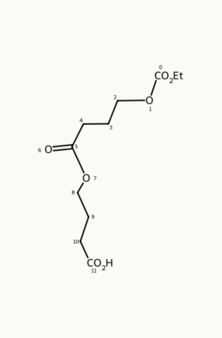 CCOC(=O)OCCCC(=O)OCCCC(=O)O